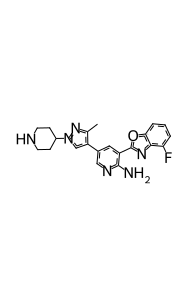 Cc1nn(C2CCNCC2)cc1-c1cnc(N)c(-c2nc3c(F)cccc3o2)c1